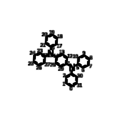 [c]1ccc(N(c2ccccc2)c2ccc(N(c3ccccc3)c3ccccc3)cc2)cc1